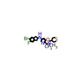 CN(C(=O)C1CCSCC1)C(c1ccc(NC2Cc3cc(F)c(Br)cc3C2)cn1)C(F)(F)F